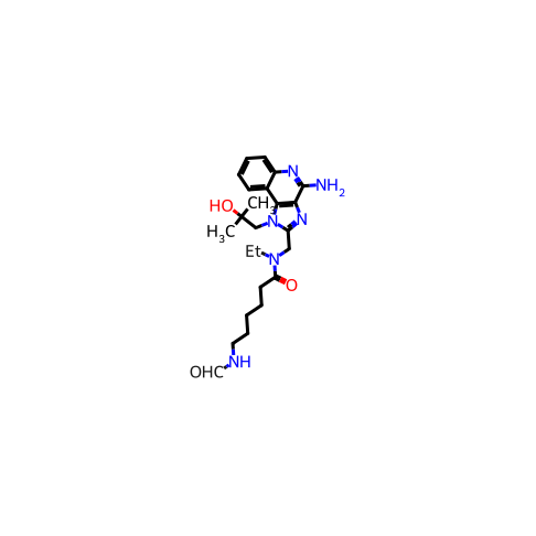 CCN(Cc1nc2c(N)nc3ccccc3c2n1CC(C)(C)O)C(=O)CCCCCNC=O